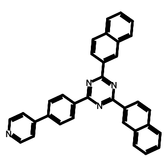 c1ccc2cc(-c3nc(-c4ccc(-c5ccncc5)cc4)nc(-c4ccc5ccccc5c4)n3)ccc2c1